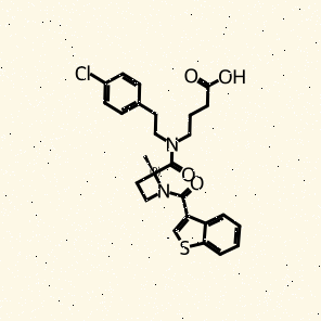 C[C@]1(C(=O)N(CCCC(=O)O)CCc2ccc(Cl)cc2)CCN1C(=O)c1csc2ccccc12